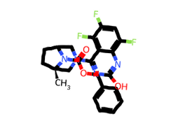 C[C@]12CCC(CN(c3nc(O)nc4c(F)cc(F)c(F)c34)C1)N2C(=O)OCc1ccccc1